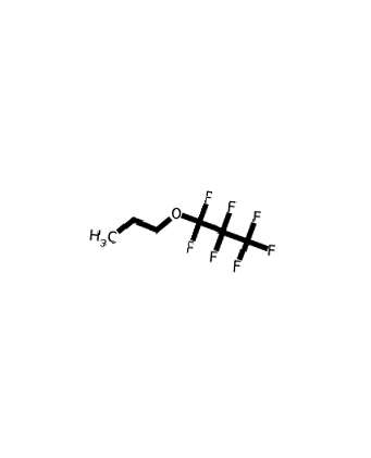 CC[CH]OC(F)(F)C(F)(F)C(F)(F)F